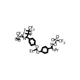 CCCC(=NOS(=O)(=O)C(F)(F)F)c1ccc(OC(CC)Oc2ccc(C(=NOS(=O)(=O)C(F)(F)F)C(F)(F)C(F)(F)C(F)(F)F)cc2)cc1